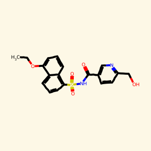 CCOc1cccc2c(S(=O)(=O)NC(=O)c3ccc(CO)nc3)cccc12